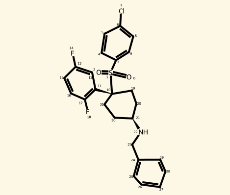 O=S(=O)(c1ccc(Cl)cc1)[C@]1(c2cc(F)ccc2F)CC[C@@H](NCc2ccccc2)CC1